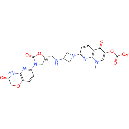 Cn1cc(OC(=O)O)c(=O)c2ccc(N3CC(NC[C@@H]4CN(c5ccc6c(n5)NC(=O)CO6)C(=O)O4)C3)nc21